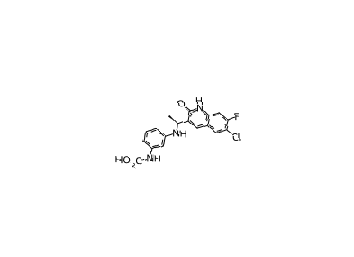 C[C@H](Nc1cccc(NC(=O)O)c1)c1cc2cc(Cl)c(F)cc2[nH]c1=O